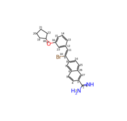 N=C(N)c1ccc2cc(/C(Br)=C/c3cccc(OC4CCCC4)c3)ccc2c1